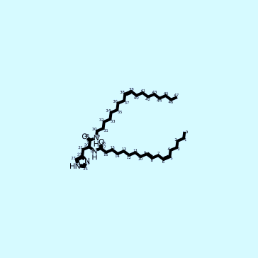 CCCCC/C=C\CC=CCCCCCCCC(=O)NC(Cc1c[nH]cn1)C(=O)NCCCCCCCC/C=C\CCCCCCCC